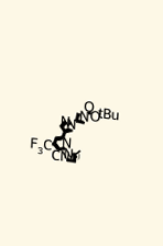 C[C@H]1CCN1c1nc(-c2cnn(C3CN(C(=O)OC(C)(C)C)C3)c2)cc(C(F)(F)F)c1C#N